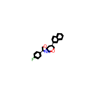 Fc1ccc([C@H]2COC3(COC[C@H](c4ccc5ccccc5c4)C3)N2)cc1